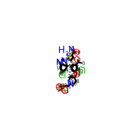 CC(Oc1cc(-n2cnc3cc(Cl)ccc32)sc1C(N)=O)c1cccc(OC2CCN(CCS(C)(=O)=O)CC2)c1Cl